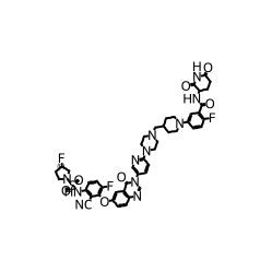 N#Cc1c(NS(=O)(=O)N2CC[C@@H](F)C2)ccc(F)c1Oc1ccc2ncn(-c3ccc(N4CCN(CC5CCN(c6ccc(F)c(C(=O)NC7CCC(=O)NC7=O)c6)CC5)CC4)nc3)c(=O)c2c1